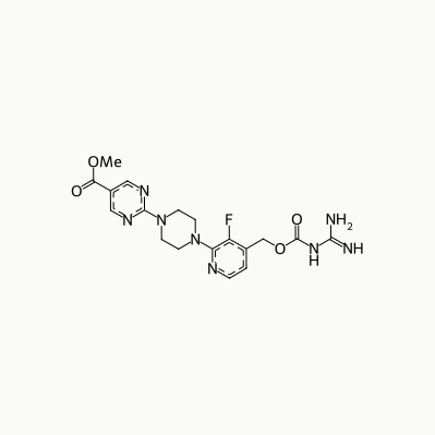 COC(=O)c1cnc(N2CCN(c3nccc(COC(=O)NC(=N)N)c3F)CC2)nc1